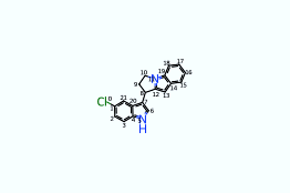 Clc1ccc2[nH]cc(C3CCn4c3cc3ccccc34)c2c1